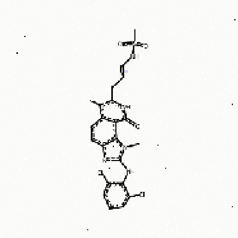 Cc1c(C/C=C/NS(C)(=O)=O)[nH]c(=O)c2c1ccc1nc(Nc3c(Cl)cccc3Cl)n(C)c12